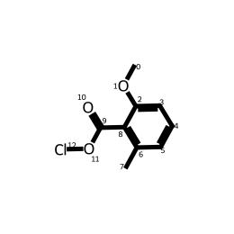 COc1cccc(C)c1C(=O)OCl